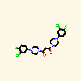 O=C(CC(=O)N1CCN(c2ccc(Cl)c(Cl)c2)CC1)N1CCN(c2ccc(Cl)c(Cl)c2)CC1